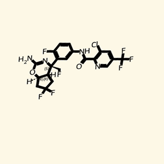 NC1=N[C@](CF)(c2cc(NC(=O)c3ncc(C(F)(F)F)cc3Cl)ccc2F)[C@H]2CC(F)(F)C[C@H]2O1